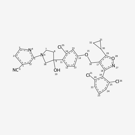 N#Cc1ccnc(N2CCC(O)(c3ccc(OCc4c(-c5c(Cl)cccc5Cl)noc4C4CC4)cc3Cl)C2)c1